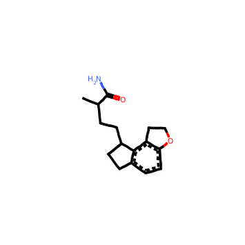 CC(CCC1CCc2ccc3c(c21)CCO3)C(N)=O